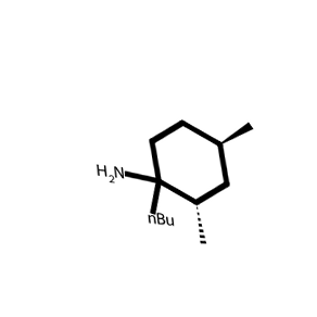 CCCCC1(N)CC[C@@H](C)C[C@@H]1C